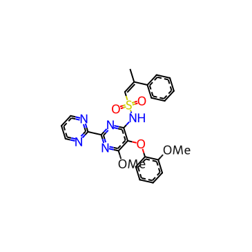 COc1ccccc1Oc1c(NS(=O)(=O)/C=C(/C)c2ccccc2)nc(-c2ncccn2)nc1OC